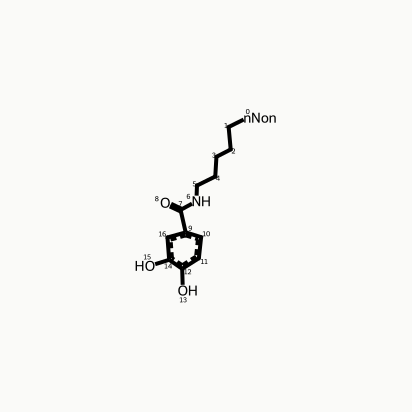 CCCCCCCCCCCCCCNC(=O)c1ccc(O)c(O)c1